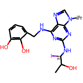 CC(O)[C@@H](I)Nc1nc(NCc2cccc(O)c2O)c2ncn(C(C)C)c2n1